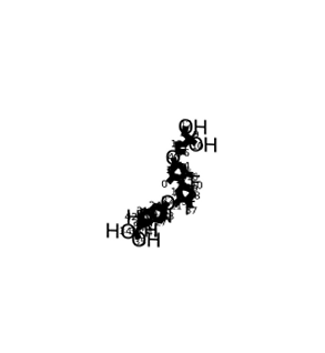 Cc1cc(O[C@H]2C[C@@H]([C@@](C)(O)CO)C2)cc(C)c1-c1cc(COc2cc3c(cn2)[C@H]2[C@@H](C3)[C@@H]2C(O)O)c(F)cc1F